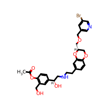 CC(=O)Oc1ccc([C@@H](O)CNCCc2ccc3c(c2)O[C@H](COCc2cncc(Br)c2)CO3)cc1CO